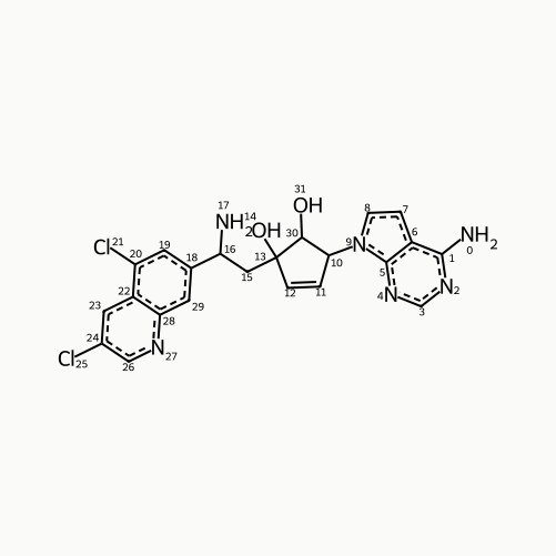 Nc1ncnc2c1ccn2C1C=CC(O)(CC(N)c2cc(Cl)c3cc(Cl)cnc3c2)C1O